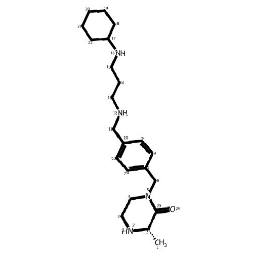 C[C@@H]1NCCN(Cc2ccc(CNCCCNC3CCCCC3)cc2)C1=O